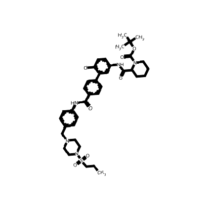 CCCS(=O)(=O)N1CCN(Cc2ccc(NC(=O)c3ccc(-c4cc(NC(=O)C5CCCCN5C(=O)OC(C)(C)C)ccc4Cl)cc3)cc2)CC1